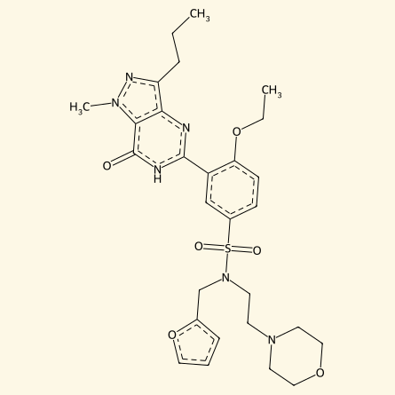 CCCc1nn(C)c2c(=O)[nH]c(-c3cc(S(=O)(=O)N(CCN4CCOCC4)Cc4ccco4)ccc3OCC)nc12